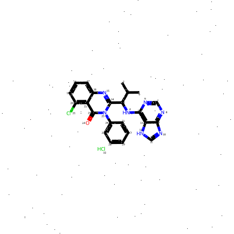 CC(C)C(Nc1ncnc2nc[nH]c12)c1nc2cccc(Cl)c2c(=O)n1-c1ccccc1.Cl